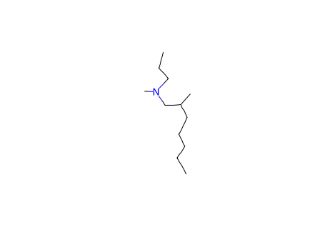 CCCCCC(C)CN(C)CCC